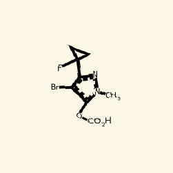 Cn1nc(C2(F)CC2)c(Br)c1OC(=O)O